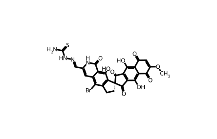 COC1=CC(=O)c2c(O)c3c(c(O)c2C1=O)C(=O)[C@]1(CCc2c1c(O)c1c(=O)[nH]c(C=NNC(N)=S)cc1c2Br)C3=O